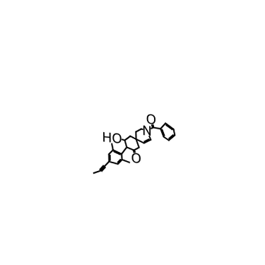 CC#Cc1cc(C)c(C2C(=O)CC3(C=CN(C(=O)c4ccccc4)CC3)CC2O)c(C)c1